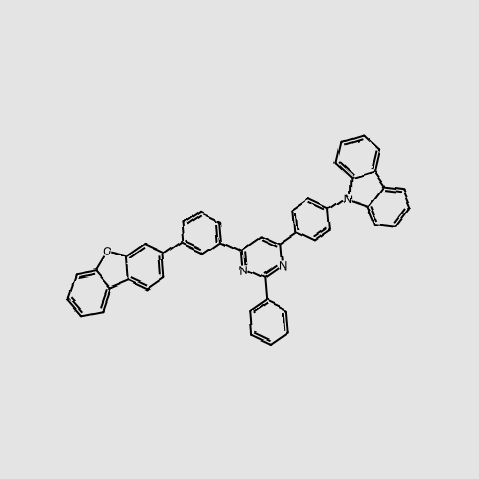 c1ccc(-c2nc(-c3ccc(-n4c5ccccc5c5ccccc54)cc3)cc(-c3cccc(-c4ccc5c(c4)oc4ccccc45)c3)n2)cc1